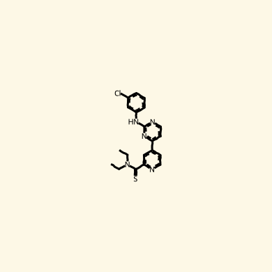 CCN(CC)C(=S)c1cc(-c2ccnc(Nc3cccc(Cl)c3)n2)ccn1